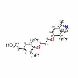 CCCc1cc(CC(=O)O)cc(CCC)c1OCCCOc1ccc2c(CC)noc2c1CCC